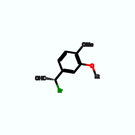 CCOc1cc([C@H](Br)C=O)ccc1OC